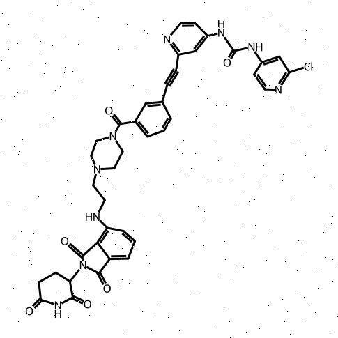 O=C1CCC(N2C(=O)c3cccc(NCCN4CCN(C(=O)c5cccc(C#Cc6cc(NC(=O)Nc7ccnc(Cl)c7)ccn6)c5)CC4)c3C2=O)C(=O)N1